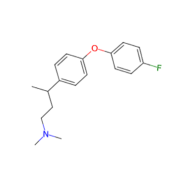 CC(CCN(C)C)c1ccc(Oc2ccc(F)cc2)cc1